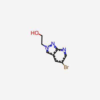 OCCn1cc2cc(Br)cnc2n1